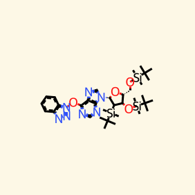 CC(C)(C)[Si](C)(C)OC[C@H]1O[C@@H](n2cnc3c(On4nnc5ccccc54)ncnc32)C([Si](C)(C)C(C)(C)C)C1O[Si](C)(C)C(C)(C)C